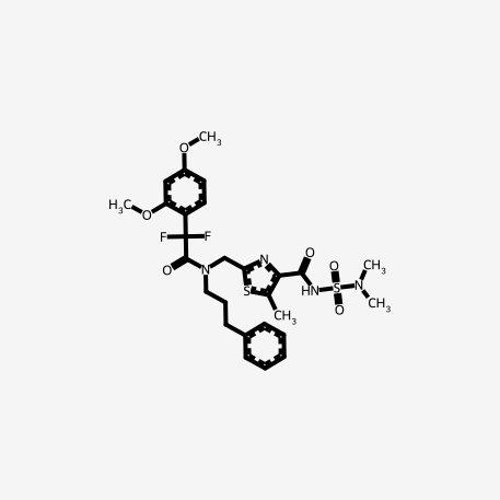 COc1ccc(C(F)(F)C(=O)N(CCCc2ccccc2)Cc2nc(C(=O)NS(=O)(=O)N(C)C)c(C)s2)c(OC)c1